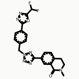 CN1CCc2ccc(-c3nnn(Cc4ccc(-c5nnc(C(F)F)o5)cc4)n3)cc2C1=O